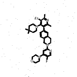 CCc1c(C)nc(C)c(-c2ccc3c(c2)CCN(c2cc(N4CCOCC4)c(F)cn2)C3)c1N1CCC(C)(C)CC1